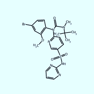 COc1cc(Br)ccc1N(C(=O)N(C)C(C)(C)C)c1ccc(S(=O)(=O)Nc2ncccn2)cn1